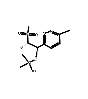 Cc1ccc([C@@H](O[Si](C)(C)C(C)(C)C)[C@H](C)S(C)(=O)=O)nn1